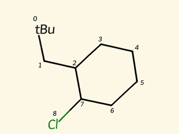 CC(C)(C)CC1CCCCC1Cl